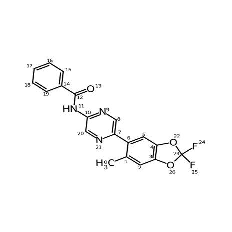 Cc1cc2c(cc1-c1cnc(NC(=O)c3ccccc3)cn1)OC(F)(F)O2